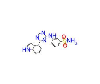 NS(=O)(=O)c1cccc(Nc2ncnc(-c3cccc4[nH]ccc34)n2)c1